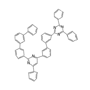 c1ccc(-c2cccc(-c3cccc(-c4nc(-c5ccccc5)cc(-c5cccc(-c6cccc(-c7nc(-c8ccccc8)nc(-c8ccccc8)n7)c6)c5)n4)c3)c2)cc1